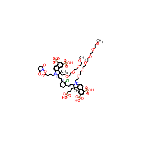 COCCOCCOCCOCCOCCOCC[N+]1=C(/C=C/C2=C(Cl)C(=C/C=C3/N(CCCC(=O)ON4C(=O)CCC4=O)c4ccc5c(S(=O)(=O)[O-])cc(S(=O)(=O)O)cc5c4C3(C)CCOCCOCCOCCOC)/CCC2)C(C)(CCCS(=O)(=O)O)c2c1ccc1c(S(=O)(=O)O)cc(S(=O)(=O)O)cc21